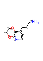 NCCCc1ccnc2c1OCCO2